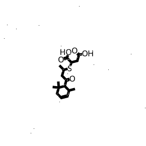 CC(CC(=O)C1C(C)C=CCC1(C)C)SC(CC(=O)O)C(=O)O